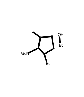 CCC1CCC(C)C1NC.CCO